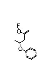 C=C(CC(C)Oc1ccccc1)OF